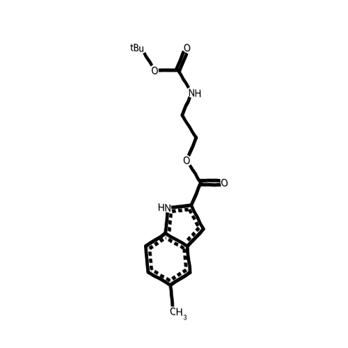 Cc1ccc2[nH]c(C(=O)OCCNC(=O)OC(C)(C)C)cc2c1